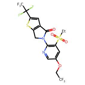 CCS(=O)(=O)c1cc(OCC(F)(F)F)cnc1N1Cc2sc(C(F)(F)C(F)(F)F)cc2C1=O